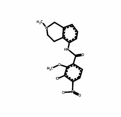 COc1c(C(=O)Nc2cccc3c2CCN(C)C3)ccc([N+](=O)[O-])c1Cl